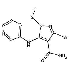 NC(=O)c1c(Br)nn(SF)c1Nc1cnccn1